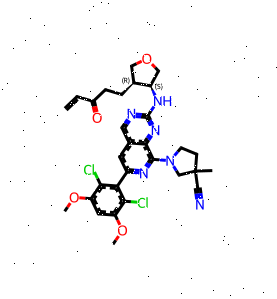 C=CC(=O)CC[C@H]1COC[C@H]1Nc1ncc2cc(-c3c(Cl)c(OC)cc(OC)c3Cl)nc(N3CCC(C)(C#N)C3)c2n1